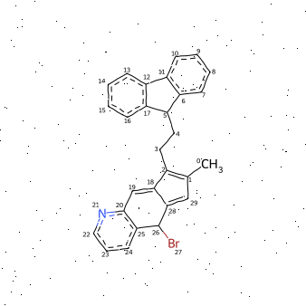 CC1=C(CCC2c3ccccc3-c3ccccc32)C2=Cc3ncccc3C(Br)C2=C1